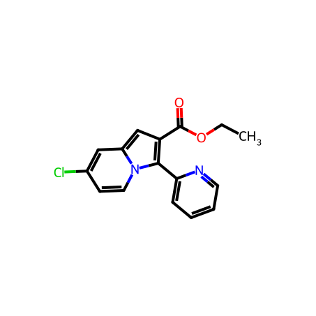 CCOC(=O)c1cc2cc(Cl)ccn2c1-c1ccccn1